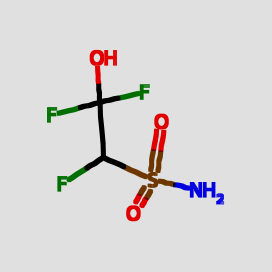 NS(=O)(=O)C(F)C(O)(F)F